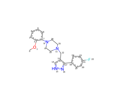 COc1ccccc1N1CCN(Cc2c[nH]nc2-c2ccc(F)cc2)CC1